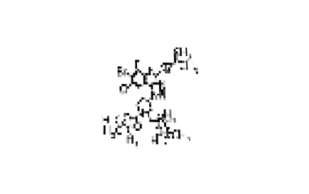 CN(C)C1CN(c2nc3c(F)c(Br)c(Cl)cc3c3c2nnn3[C@H]2CCN(C(=O)OC(C)(C)C)[C@H](CC(=O)OC(C)(C)C)C2)C1